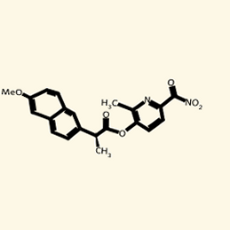 COc1ccc2cc([C@H](C)C(=O)Oc3ccc(C(=O)[N+](=O)[O-])nc3C)ccc2c1